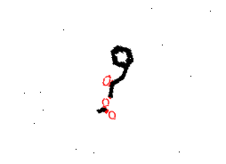 CC(=O)OCC(=O)Cc1ccccc1